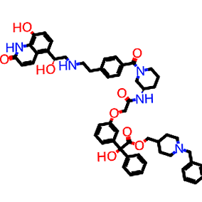 O=C(COc1cccc(C(O)(C(=O)OCC2CCN(Cc3ccccc3)CC2)c2ccccc2)c1)N[C@H]1CCCN(C(=O)c2ccc(CCNC[C@H](O)c3ccc(O)c4[nH]c(=O)ccc34)cc2)C1